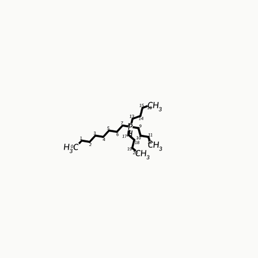 CCCCCCCC[PH](CCCC)(CCCC)CCCC